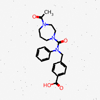 CC(=O)N1CCCN(C(=O)N(Cc2ccc(C(=O)O)cc2)c2ccccc2)CC1